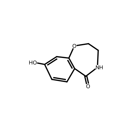 O=C1NCCOc2cc(O)ccc21